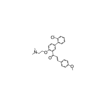 COc1ccc(/C=C/C(=O)c2cc(-c3ccccc3Cl)ccc2OCCN(C)C)cc1